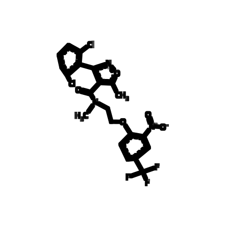 Cc1onc(-c2c(Cl)cccc2Cl)c1C(=O)N(C)CCOc1ccc(C(F)(F)F)cc1[N+](=O)[O-]